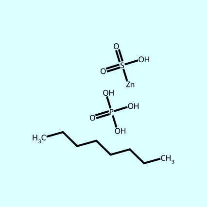 CCCCCCCC.O=P(O)(O)O.O=[S](=O)(O)[Zn]